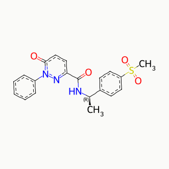 C[C@@H](NC(=O)c1ccc(=O)n(-c2ccccc2)n1)c1ccc(S(C)(=O)=O)cc1